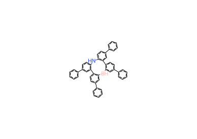 B1c2cc(-c3ccccc3)ccc2-c2cc(-c3ccccc3)ccc2Nc2ccc(-c3ccccc3)cc2-c2ccc(-c3ccccc3)cc21